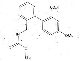 COc1ccc(-c2ccccc2CNC(=O)OC(C)(C)C)c(C(=O)O)c1